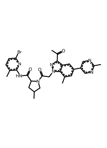 CC(=O)c1nn(CC(=O)N2CC(C)CC2C(=O)Nc2nc(Br)ccc2C)c2c(C)cc(-c3cnc(C)nc3)cc12